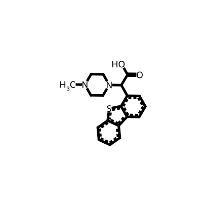 CN1CCN(C(C(=O)O)c2cccc3c2sc2ccccc23)CC1